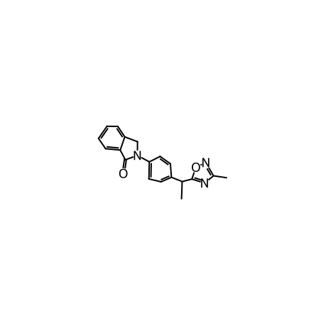 Cc1noc(C(C)c2ccc(N3Cc4ccccc4C3=O)cc2)n1